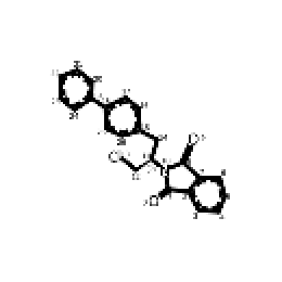 O=C1c2ccccc2C(=O)N1[C@@H](CCl)Cc1ccc(-c2ccccc2)cc1